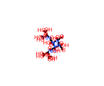 O=CCCC(C(=O)O)N1CCN(C(CCC=O)C(=O)O)CCN(C(CCC(=O)NCC(COC(CO)CO)COC(CO)CO)C(=O)O)CCN(C(CCC(=O)NCC(COC(CO)CO)COC(CO)CO)C(=O)O)CC1